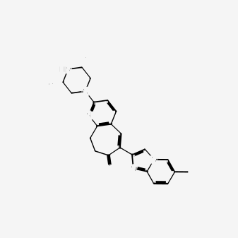 Cc1ccc2nc(C3=Cc4ccc(N5C[C@@H](C)N[C@@H](C)C5)nc4CCC3=O)cn2c1